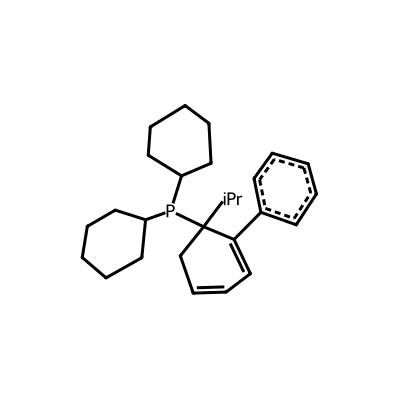 CC(C)C1(P(C2CCCCC2)C2CCCCC2)CC=CC=C1c1ccccc1